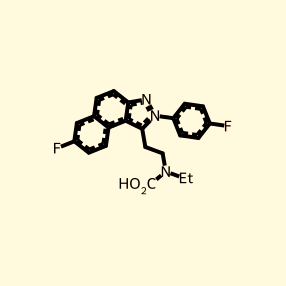 CCN(CCc1c2c(ccc3cc(F)ccc32)nn1-c1ccc(F)cc1)C(=O)O